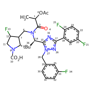 CC(=O)OC(C)C(=O)N(CC1CN(C(=O)O)CC1F)[C@@H](c1nc(-c2cc(F)ccc2F)nn1Cc1cccc(F)c1)C(C)(C)C